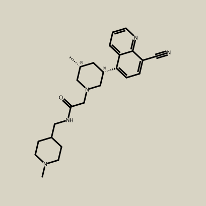 C[C@@H]1C[C@H](c2ccc(C#N)c3ncccc23)CN(CC(=O)NCC2CCN(C)CC2)C1